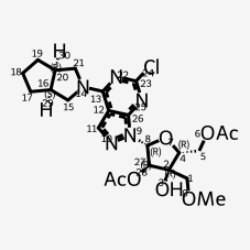 COC[C@@]1(O)[C@@H](COC(C)=O)O[C@@H](n2ncc3c(N4C[C@H]5CCC[C@H]5C4)nc(Cl)nc32)[C@@H]1OC(C)=O